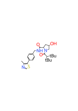 Cc1ncsc1-c1ccc(CNC(=O)C2CC(O)CN2C(=O)C(C(C)(C)C)C(C)(C)C)cc1